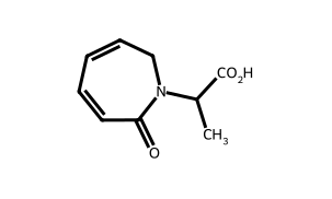 CC(C(=O)O)N1CC=CC=CC1=O